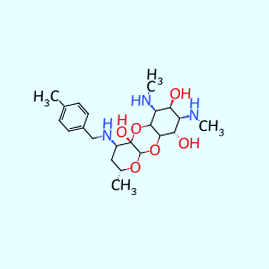 CN[C@@H]1[C@H](O)[C@H](NC)C2O[C@]3(O)C(OC2[C@H]1O)O[C@H](C)C[C@H]3NCc1ccc(C)cc1